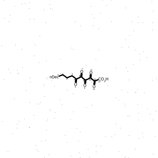 CCCCCCCCCCCCCC(=O)C(=O)C(=O)C(=O)C(=O)C(=O)O